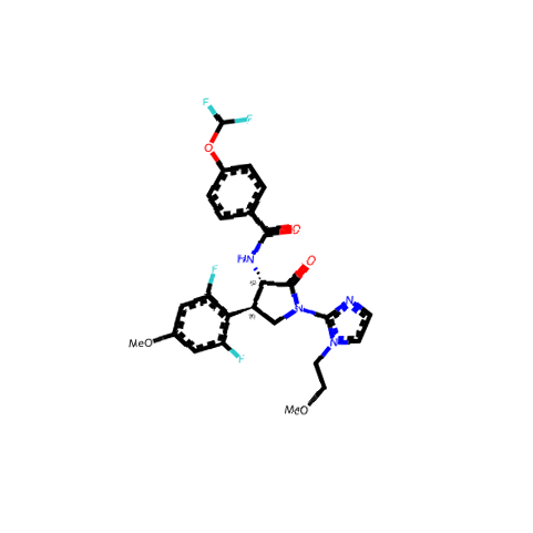 COCCn1ccnc1N1C[C@@H](c2c(F)cc(OC)cc2F)[C@H](NC(=O)c2ccc(OC(F)F)cc2)C1=O